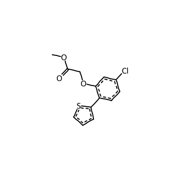 COC(=O)COc1cc(Cl)ccc1-c1cccs1